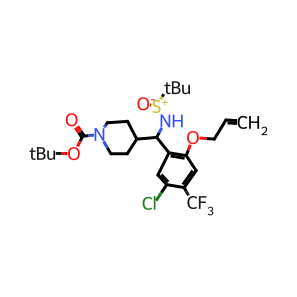 C=CCOc1cc(C(F)(F)F)c(Cl)cc1C(N[S+]([O-])C(C)(C)C)C1CCN(C(=O)OC(C)(C)C)CC1